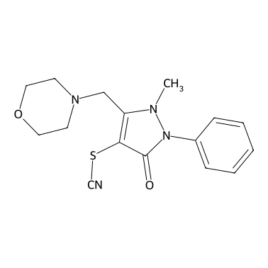 Cn1c(CN2CCOCC2)c(SC#N)c(=O)n1-c1ccccc1